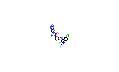 Cn1cc2c(n1)CCN(C(=O)N[C@@H]1CCC[C@H](Nc3cc(C(F)(F)F)nc4ccc(Cl)cc34)C1)C2